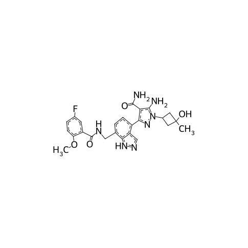 COc1ccc(F)cc1C(=O)NCc1ccc(-c2nn(C3CC(C)(O)C3)c(N)c2C(N)=O)c2cn[nH]c12